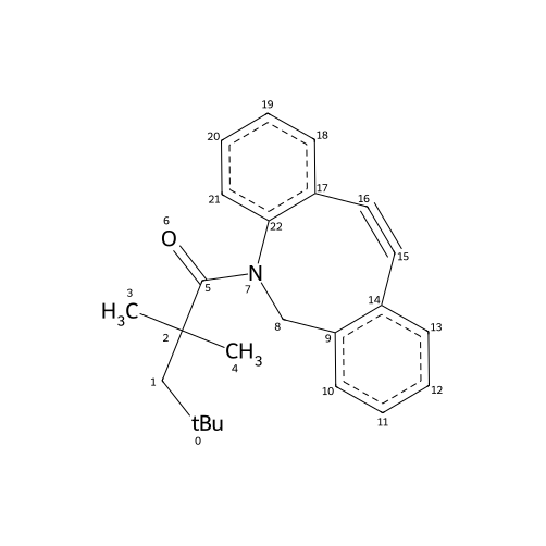 CC(C)(C)CC(C)(C)C(=O)N1Cc2ccccc2C#Cc2ccccc21